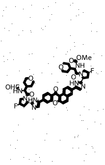 COC(=O)N[C@H](C(=O)N1C[C@H](F)C[C@H]1c1ncc(-c2ccc3c(ccc4oc5cc(-c6cnc([C@@H]7C[C@@H](F)CN7C(=O)[C@@H](NC=O)C7CCOCC7)[nH]6)ccc5c(=O)c43)c2)[nH]1)C1CCOCC1